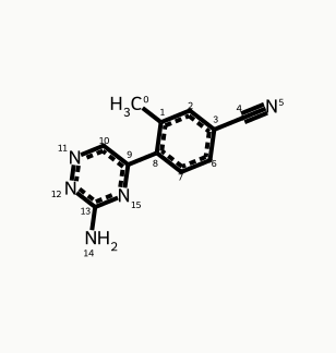 Cc1cc(C#N)ccc1-c1cnnc(N)n1